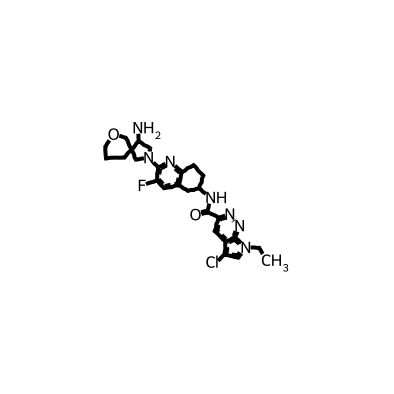 CCn1cc(Cl)c2cc(C(=O)NC3CCc4nc(N5CC(N)C6(CCCOC6)C5)c(F)cc4C3)nnc21